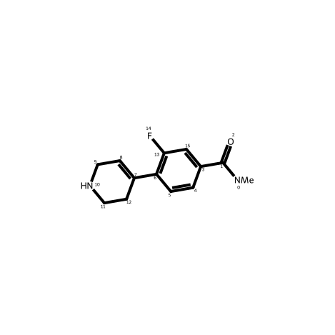 CNC(=O)c1ccc(C2=CCNCC2)c(F)c1